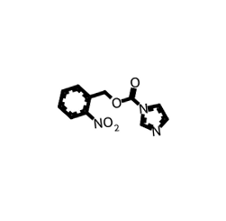 O=C(OCc1ccccc1[N+](=O)[O-])n1ccnc1